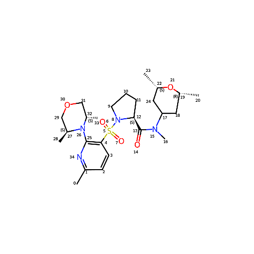 Cc1ccc(S(=O)(=O)N2CCC[C@H]2C(=O)N(C)C2C[C@@H](C)O[C@@H](C)C2)c(N2[C@@H](C)COC[C@@H]2C)n1